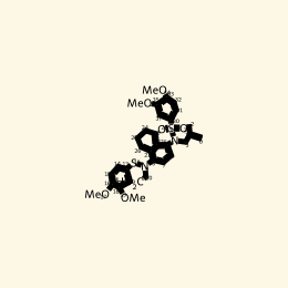 C=C(C)CN(c1ccc(N(CC(=O)O)Sc2ccc(OC)c(OC)c2)c2c1=CCCC=2)S(=O)(=O)c1ccc(OC)c(OC)c1